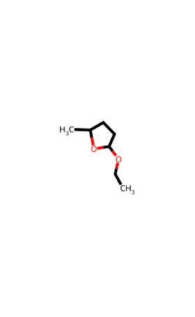 CCOC1CCC(C)O1